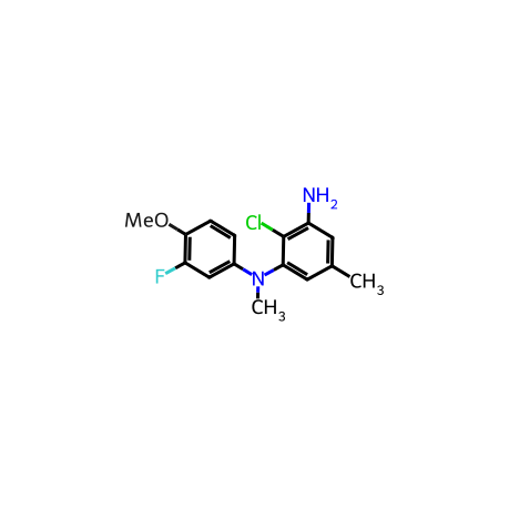 COc1ccc(N(C)c2cc(C)cc(N)c2Cl)cc1F